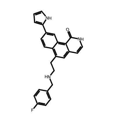 O=c1[nH]ccc2cc(CCNCc3ccc(F)cc3)c3ccc(-c4ccc[nH]4)cc3c12